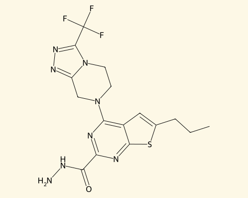 CCCc1cc2c(N3CCn4c(nnc4C(F)(F)F)C3)nc(C(=O)NN)nc2s1